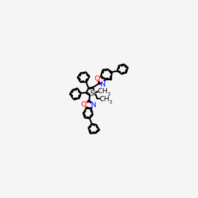 CC[Si]1(C)C(c2nc3cc(-c4ccccc4)ccc3o2)=C(c2ccccc2)C(c2ccccc2)=C1c1nc2cc(-c3ccccc3)ccc2o1